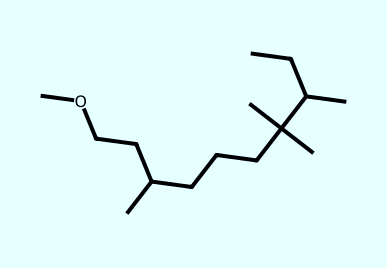 CCC(C)C(C)(C)CCCC(C)CCOC